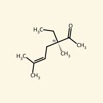 CC[C@](C)(CC=C(C)C)C(C)=O